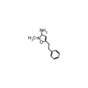 CN1OC(CCc2ccccc2)=CC1N